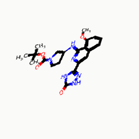 COc1cccc2cc(-c3n[nH]c(=O)[nH]3)nc(N[C@H]3CCN(C(=O)OC(C)(C)C)C3)c12